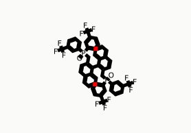 O=P(Cc1ccc2ccccc2c1-c1c(CP(=O)(c2cccc(C(F)(F)F)c2)c2cccc(C(F)(F)F)c2)ccc2ccccc12)(c1cccc(C(F)(F)F)c1)c1cccc(C(F)(F)F)c1